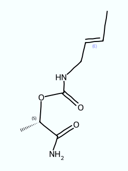 C/C=C/CNC(=O)O[C@@H](C)C(N)=O